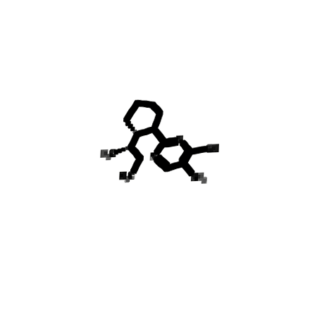 CC[C@H](C)[C@@H]1CCCCC1c1ncc(N)c(O)n1